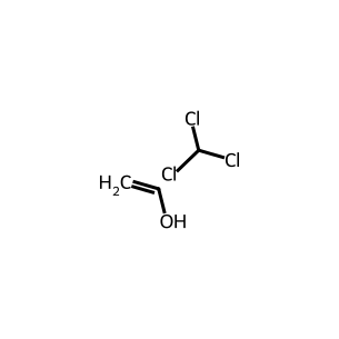 C=CO.ClC(Cl)Cl